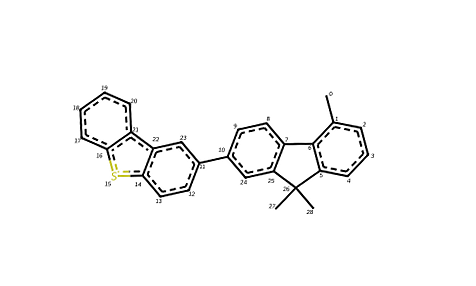 Cc1cccc2c1-c1ccc(-c3ccc4sc5ccccc5c4c3)cc1C2(C)C